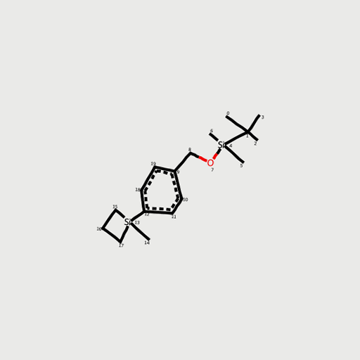 CC(C)(C)[Si](C)(C)OCc1ccc([Si]2(C)CCC2)cc1